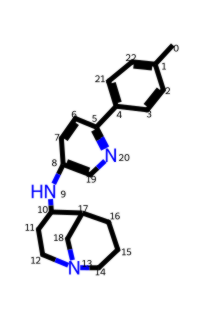 Cc1ccc(-c2ccc(NC3CCN4CCCC3C4)cn2)cc1